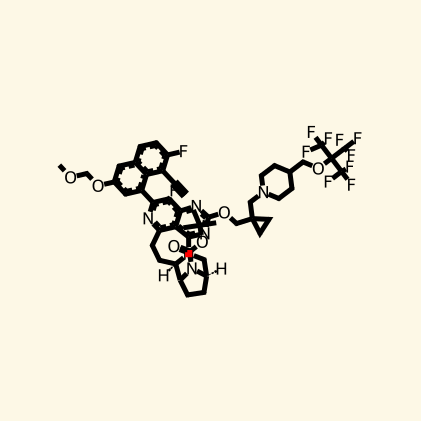 C#Cc1c(F)ccc2cc(OCOC)cc(-c3nc4c5c(nc(OCC6(CN7CCC(COC(C(F)(F)F)(C(F)(F)F)C(F)(F)F)CC7)CC6)nc5c3F)N3C[C@H]5CCC([C@H]3CC4)N5C(=O)OC(C)(C)C)c12